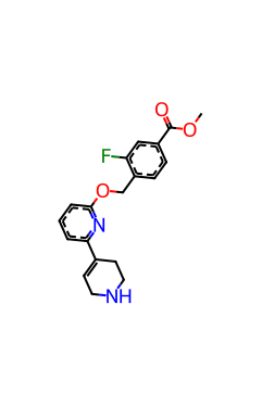 COC(=O)c1ccc(COc2cccc(C3=CCNCC3)n2)c(F)c1